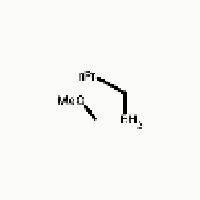 BCCCC.COC